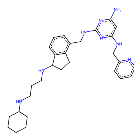 Nc1cc(NCc2ccccn2)nc(NCc2cccc3c2CCC3NCCCNC2CCCCC2)n1